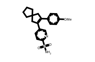 COc1ccc(C2=C(c3ccc(S(N)(=O)=O)nc3)CC3(CCCC3)C2)cc1